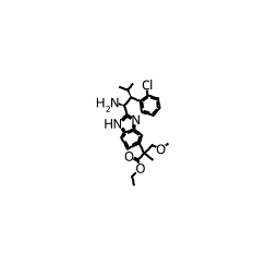 CCOC(=O)C(C)(COC)c1ccc2[nH]c([C@@H](N)[C@H](c3ccccc3Cl)C(C)C)nc2c1